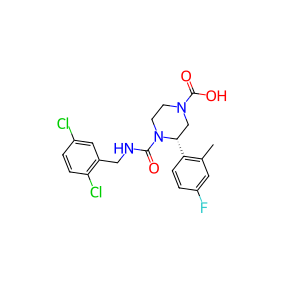 Cc1cc(F)ccc1[C@H]1CN(C(=O)O)CCN1C(=O)NCc1cc(Cl)ccc1Cl